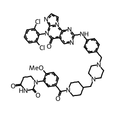 COc1ccc(C(=O)N2CCC(CN3CCN(Cc4ccc(Nc5ncc6c(=O)n(-c7c(Cl)cccc7Cl)c7nccn7c6n5)cc4)CC3)CC2)cc1N1CCC(=O)NC1=O